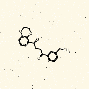 CCc1cccc(C(=O)CCC(=O)c2cccc3c2OCCO3)c1